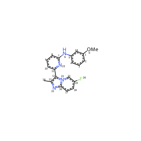 COc1cccc(Nc2cccc(-c3c(C)nc4ccc(F)cn34)n2)c1